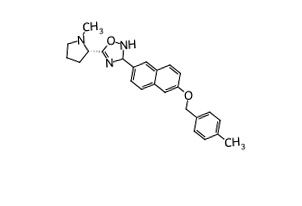 Cc1ccc(COc2ccc3cc(C4N=C([C@@H]5CCCN5C)ON4)ccc3c2)cc1